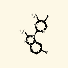 Cc1nc2ccc(F)cc2n1-c1ncc(F)c(N)n1